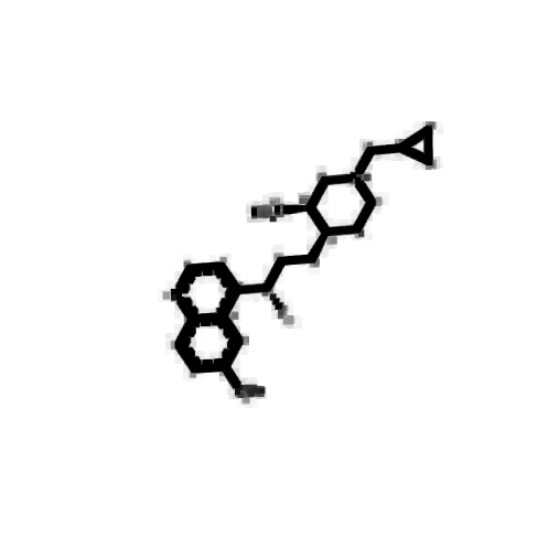 COc1ccc2nccc([C@@H](F)CC[C@@H]3CCN(CC4CC4)C[C@@H]3C(=O)O)c2c1